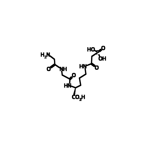 NCC(=O)NCC(=O)N[C@@H](CCCNC(=O)CP(=O)(O)O)C(=O)O